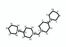 C1CCN(C2CCN(CN3CCC(N4CCCCC4)CC3)CC2)CC1